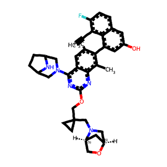 C#Cc1c(F)ccc2cc(O)cc(-c3c(C)cc4c(N5CC6CCC(C5)N6)nc(OCC5(CN6C[C@@H]7C[C@H]6CO7)CC5)nc4c3C)c12